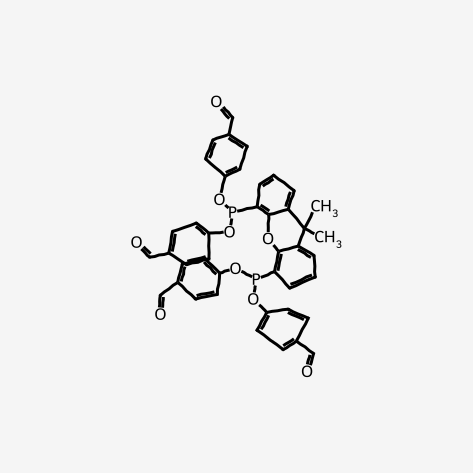 CC1(C)c2cccc(P(Oc3ccc(C=O)cc3)Oc3ccc(C=O)cc3)c2Oc2c(P(Oc3ccc(C=O)cc3)Oc3ccc(C=O)cc3)cccc21